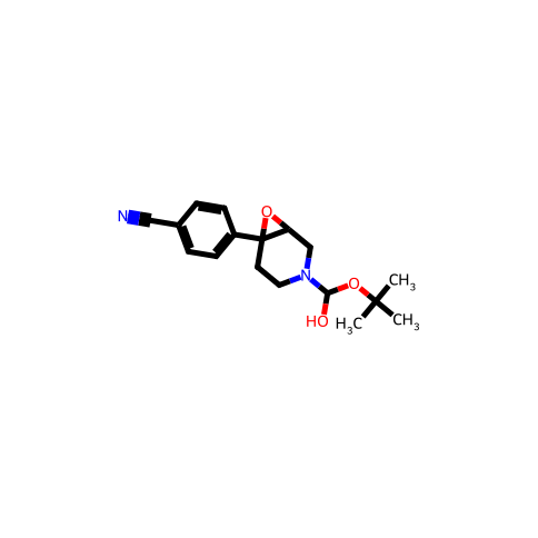 CC(C)(C)OC(O)N1CCC2(c3ccc(C#N)cc3)OC2C1